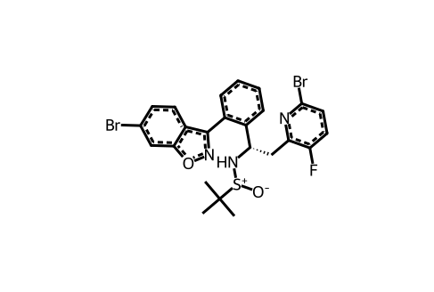 CC(C)(C)[S+]([O-])N[C@@H](Cc1nc(Br)ccc1F)c1ccccc1-c1noc2cc(Br)ccc12